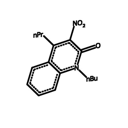 CCCCn1c(=O)c([N+](=O)[O-])c(CCC)c2ccccc21